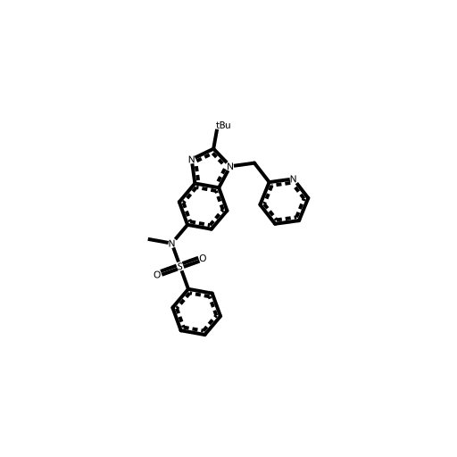 CN(c1ccc2c(c1)nc(C(C)(C)C)n2Cc1ccccn1)S(=O)(=O)c1ccccc1